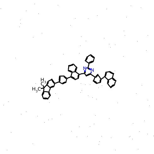 CC1(C)c2ccccc2-c2cc(-c3ccc(-c4ccc(-c5cc(-c6cccc(-c7cccc8ccccc78)c6)nc(-c6ccccc6)n5)c5ccccc45)cc3)ccc21